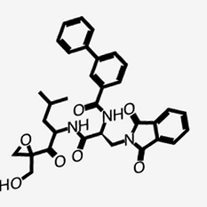 CC(C)CC(NC(=O)[C@H](CN1C(=O)c2ccccc2C1=O)NC(=O)c1cccc(-c2ccccc2)c1)C(=O)C1(CO)CO1